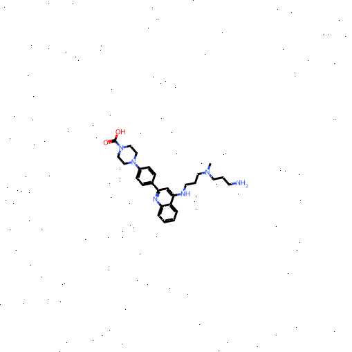 CN(CCCN)CCCNc1cc(-c2ccc(N3CCN(C(=O)O)CC3)cc2)nc2ccccc12